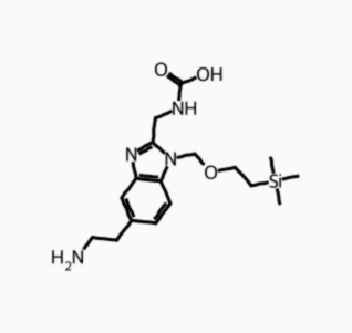 C[Si](C)(C)CCOCn1c(CNC(=O)O)nc2cc(CCN)ccc21